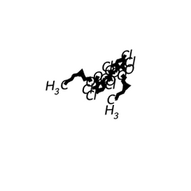 CCCCC1CC1CCOC(=O)c1c(Cl)c(Cl)cc(Cl)c1OC(=O)C(=O)Oc1c(Cl)cc(Cl)c(Cl)c1C(=O)OCCC1CC1CCCC